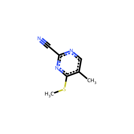 CSc1nc(C#N)ncc1C